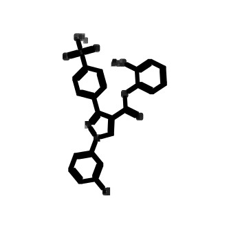 CC(=O)Oc1ccccc1OC(=O)c1cn(-c2cccc(Cl)c2)nc1-c1ccc(S(C)(=O)=O)cc1